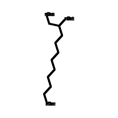 [CH2]CCCCCCCCCCCCCCCCCC(CCCCCCCC)CCCCCCCCCCC